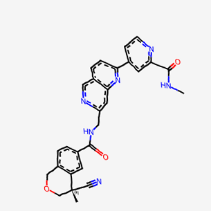 CNC(=O)c1cc(-c2ccc3cnc(CNC(=O)c4ccc5c(c4)[C@](C)(C#N)COC5)cc3n2)ccn1